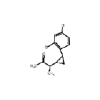 CC(=O)[C@H](C)[C@@H]1CC1c1ccc(Cl)cc1Cl